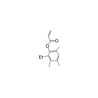 C=CC(=O)Oc1c(C)cc(C)c(C)c1CC